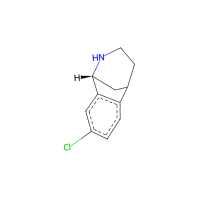 Clc1ccc2c(c1)[C@H]1CC2CCN1